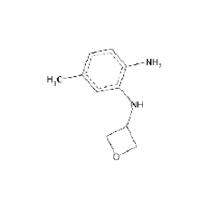 Cc1ccc(N)c(NC2COC2)c1